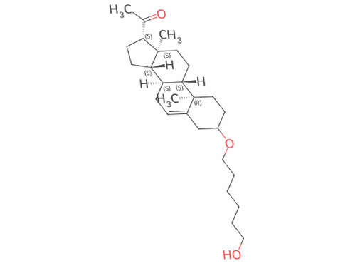 CC(=O)[C@H]1CC[C@H]2[C@@H]3CC=C4CC(OCCCCCCO)CC[C@]4(C)[C@H]3CC[C@]12C